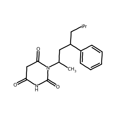 CC(C)CC(CC(C)N1C(=O)CC(=O)NC1=O)c1ccccc1